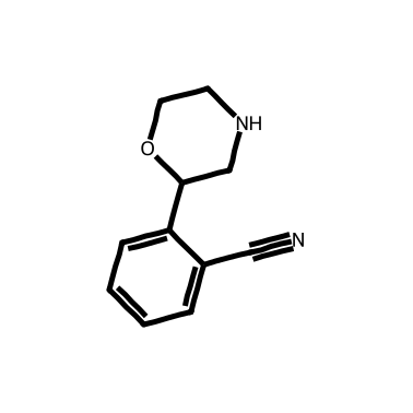 N#Cc1ccccc1C1CNCCO1